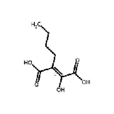 CCCC/C(C(=O)O)=C(/O)C(=O)O